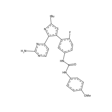 COc1ccc(NC(=O)Nc2ccc(F)c(-c3sc(C(C)(C)C)nc3-c3ccnc(N)n3)c2)cc1